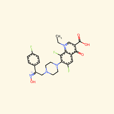 CCn1cc(C(=O)O)c(=O)c2cc(F)c(N3CCN(C/C(=N\O)c4ccc(F)cc4)CC3)c(F)c21